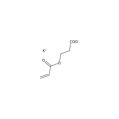 C=CC(=O)OCCC(=O)[O-].[K+]